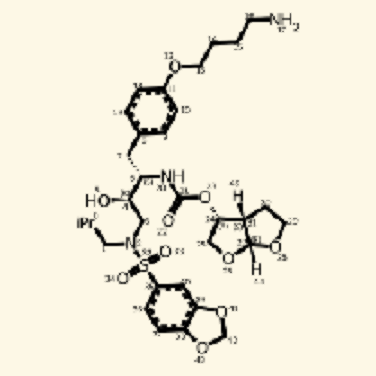 CC(C)CN(C[C@@H](O)[C@H](Cc1ccc(OCCCCN)cc1)NC(=O)O[C@H]1CO[C@H]2OCC[C@H]21)S(=O)(=O)c1ccc2c(c1)OCO2